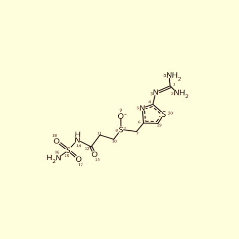 NC(N)=Nc1nc(C[S+]([O-])CCC(=O)NS(N)(=O)=O)cs1